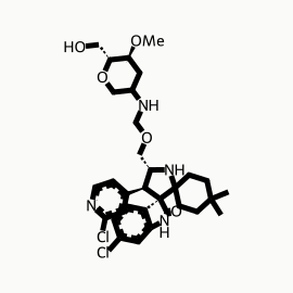 CO[C@H]1CC(NCOC[C@@H]2NC3(CCC(C)(C)CC3)[C@@]3(C(=O)Nc4cc(Cl)ccc43)[C@H]2c2ccnc(Cl)c2)CO[C@@H]1CO